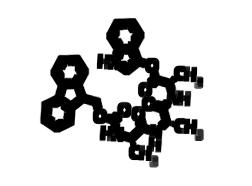 C[C@H](NC(=O)OCC1c2ccccc2-c2ccccc21)C(=O)N[C@@H](C)C(=O)N[C@@H](C)C(=O)Oc1c[nH]c2ccccc12